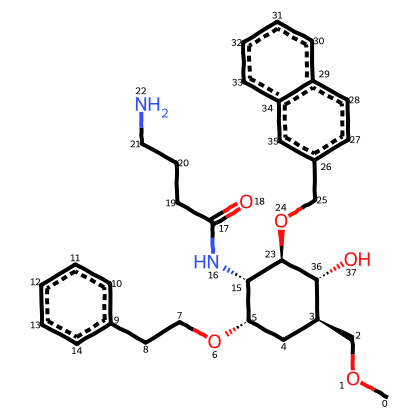 COC[C@H]1C[C@H](OCCc2ccccc2)[C@H](NC(=O)CCCN)[C@@H](OCc2ccc3ccccc3c2)[C@@H]1O